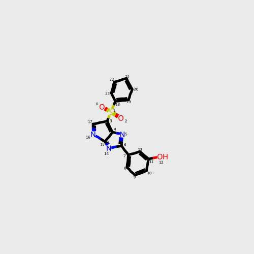 O=S(=O)(C1=C2N=C(c3cccc(O)c3)N=C2N=C1)c1ccccc1